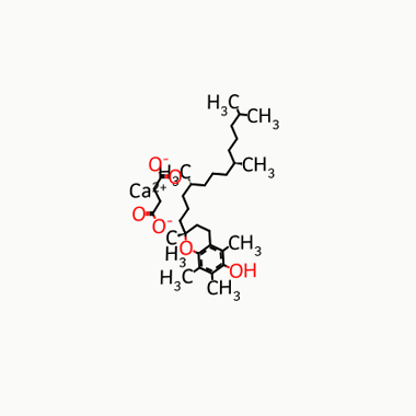 Cc1c(C)c2c(c(C)c1O)CC[C@@](C)(CCC[C@H](C)CCC[C@H](C)CCCC(C)C)O2.O=C([O-])CCC(=O)[O-].[Ca+2]